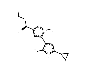 CCOC(=O)c1cc(-c2cc(C3CC3)sc2C)n(C)n1